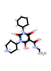 O=C(O)CNC(=O)c1c(O)n(C2CCNCC2)c(=O)n(C2CCCCC2)c1=O